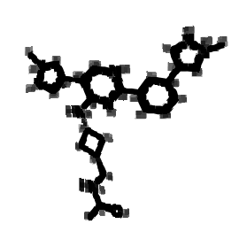 CC(=O)NC[C@H]1C[C@H](Nc2nc(-c3cccc(-c4cnn(C)c4)c3)ncc2-c2cnn(C)c2)C1